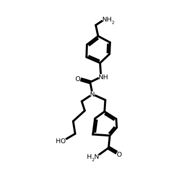 NCc1ccc(NC(=O)N(CCCCO)Cc2ccc(C(N)=O)cc2)cc1